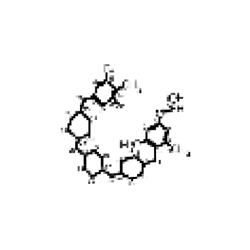 Cc1cc(OBO)cc(C)c1CC1CCC(CC2CCC(CC3CCC(Cc4cc(F)c(C)c(F)c4)CC3)CC2)CC1